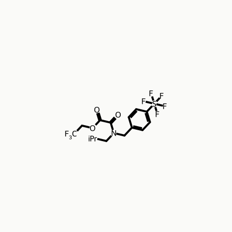 CC(C)CN(Cc1ccc(S(F)(F)(F)(F)F)cc1)C(=O)C(=O)OCC(F)(F)F